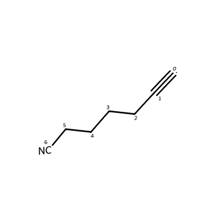 [C]#CCCCCC#N